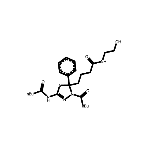 CCCCC(=O)NC1=NN(C(=O)CCCC)C(CCCC(=O)NCCO)(c2ccccc2)S1